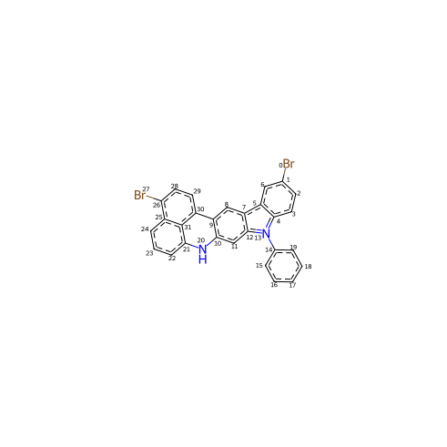 Brc1ccc2c(c1)c1cc3c(cc1n2-c1ccccc1)Nc1cccc2c(Br)ccc-3c12